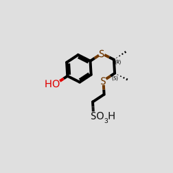 C[C@H](SCCS(=O)(=O)O)[C@@H](C)Sc1ccc(O)cc1